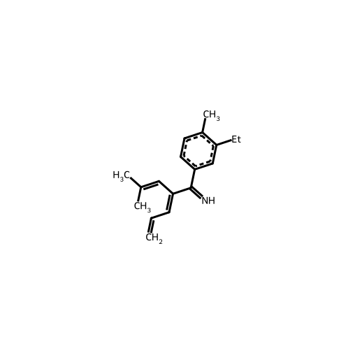 C=C/C=C(\C=C(C)C)C(=N)c1ccc(C)c(CC)c1